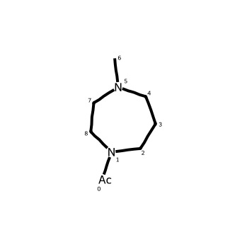 CC(=O)N1CCCN(C)CC1